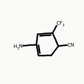 N#CC1CC=C(N)C=C1C(F)(F)F